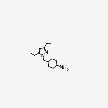 CCc1cc(CC)n(CC2CCC(N)CC2)n1